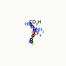 Nc1nc(OC(c2ccc(-c3ccc4ncc(F)cc4c3)cc2)C(F)(F)F)cc(N2CCC3(CC2)CNC(C(=O)O)C3)n1